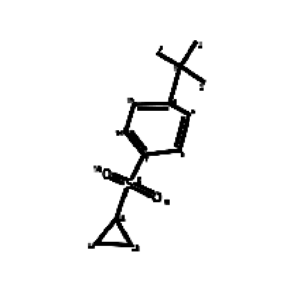 CC(C)(C)c1ccc(S(=O)(=O)C2CC2)cc1